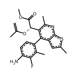 C=C(C)O[C@H](C(=O)OC)c1c(C)nc2sc(C)cc2c1-c1ccc(N)c(F)c1C